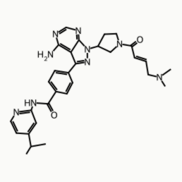 CC(C)c1ccnc(NC(=O)c2ccc(-c3nn(C4CCN(C(=O)C=CCN(C)C)C4)c4ncnc(N)c34)cc2)c1